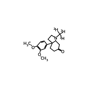 [2H]C([2H])([2H])N1CCC2(c3ccc(OC)c(OC)c3)CCC(=O)CC12